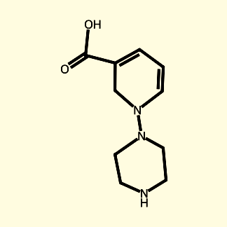 O=C(O)C1=CC=CN(N2CCNCC2)C1